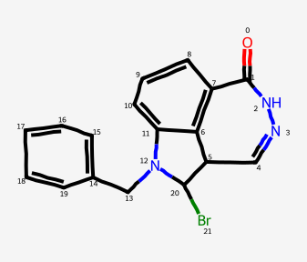 O=C1NN=CC2c3c1cccc3N(Cc1ccccc1)C2Br